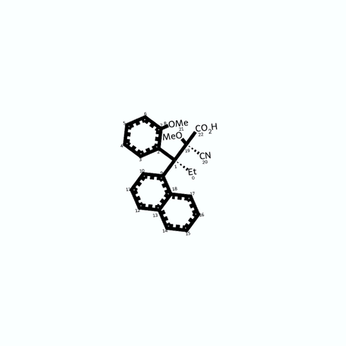 CC[C@@](c1ccccc1OC)(c1cccc2ccccc12)[C@@](C#N)(OC)C(=O)O